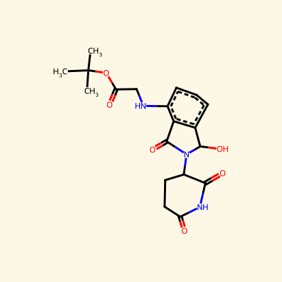 CC(C)(C)OC(=O)CNc1cccc2c1C(=O)N(C1CCC(=O)NC1=O)C2O